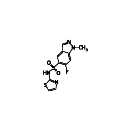 Cn1ncc2cc(S(=O)(=O)Nc3nccs3)c(F)cc21